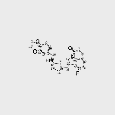 O=c1ccc2ccc(F)c3c2n1CC3CN1CCC(NCc2cc3c(cn2)OCCO3)C1